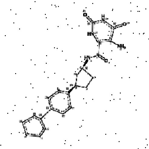 Nc1c(C(=O)N[C@H]2CC[C@@H](c3ccc(-c4ccccc4)cc3)C2)[nH]c(=O)[nH]c1=O